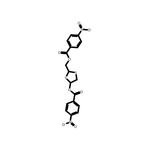 O=C(OCC1SCC(OC(=O)c2ccc([N+](=O)[O-])cc2)S1)c1ccc([N+](=O)[O-])cc1